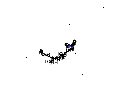 CN1/C(=C/C2=C(N3CCCC3C(=O)NC(=O)CCCCC(=O)NC(CS(=O)(=O)O)C(=O)NCCCCC(=O)NC(CCP(=O)(O)O)C(=O)NCCCCC(=O)NCCSSc3ccccn3)C(=C/C3=Nc4ccccc4C3(C)C)/C2=O)C(C)(C)c2ccccc21